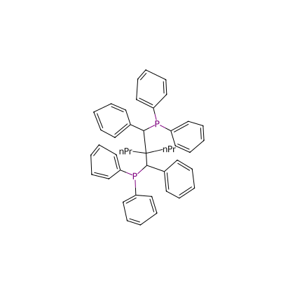 CCCC(CCC)(C(c1ccccc1)P(c1ccccc1)c1ccccc1)C(c1ccccc1)P(c1ccccc1)c1ccccc1